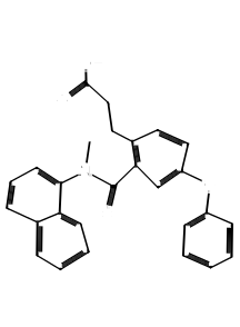 CN(C(=O)c1cc(Oc2ccccc2)ccc1CCC(=O)O)c1cccc2ccccc12